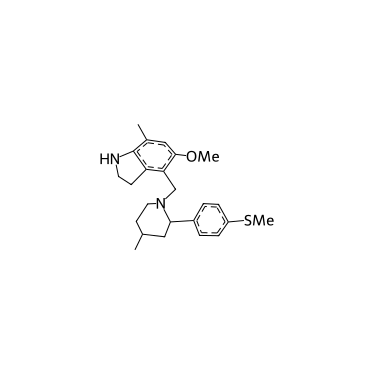 COc1cc(C)c2c(c1CN1CCC(C)CC1c1ccc(SC)cc1)CCN2